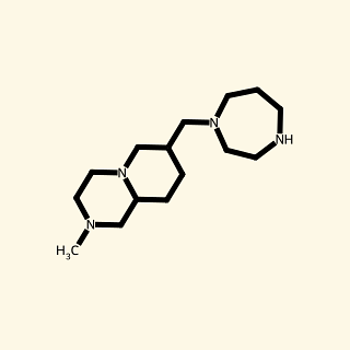 CN1CCN2CC(CN3CCCNCC3)CCC2C1